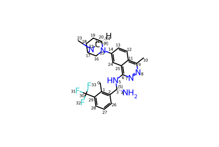 Cc1c([C@@H](N)Nc2nnc(C)c3ccc(N4CC5CC[C@@H]4CN5C)cc23)cccc1C(F)(F)F